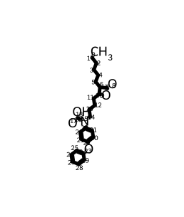 CCCCCCC1C(=O)OC1CCCCN(C(=O)O)c1ccc(Oc2ccccc2)cc1